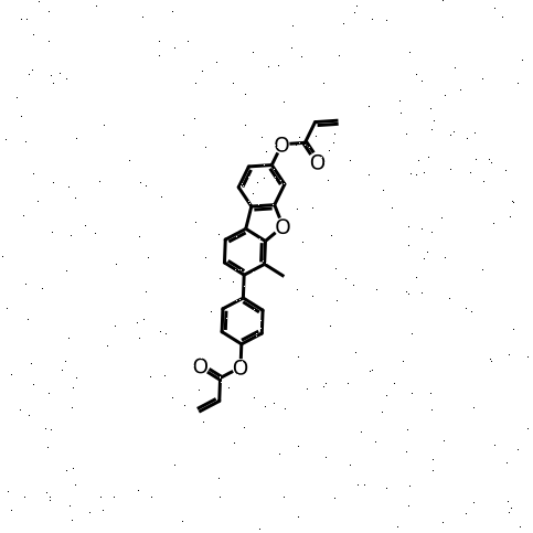 C=CC(=O)Oc1ccc(-c2ccc3c(oc4cc(OC(=O)C=C)ccc43)c2C)cc1